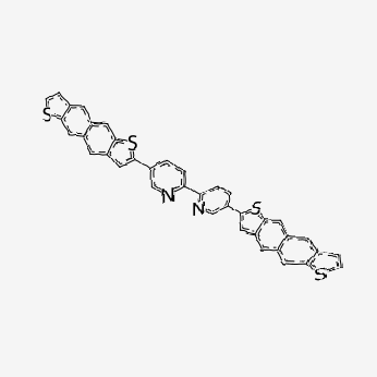 c1cc2cc3cc4sc(-c5ccc(-c6ccc(-c7cc8cc9cc%10sccc%10cc9cc8s7)cn6)nc5)cc4cc3cc2s1